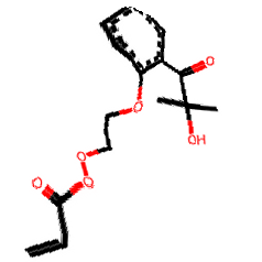 C=CC(=O)OOCCOc1ccccc1C(=O)C(C)(C)O